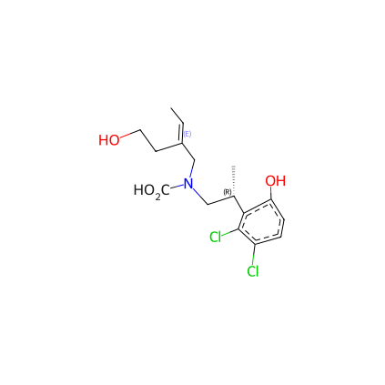 C/C=C(\CCO)CN(C[C@H](C)c1c(O)ccc(Cl)c1Cl)C(=O)O